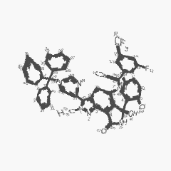 Cn1nc2c3c(c(NC(=O)c4cc(F)cc(C(F)(F)F)c4)cc2c1-c1cn(C(c2ccccc2)(c2ccccc2)c2ccccc2)cn1)C(O)(c1cc(F)ccc1Cl)NC3=O